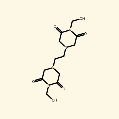 O=C1CN(CCN2CC(=O)N(CO)C(=O)C2)CC(=O)N1CO